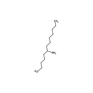 CCCCCCCC([SiH3])CCCCC